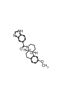 COc1ccc2c(c1)[C@H]1CCCN(C(=O)c3ccc4[nH]cnc4c3)[C@H]1CC2